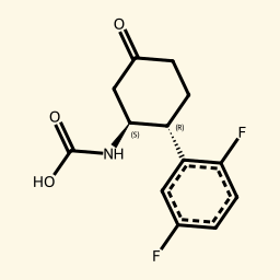 O=C1CC[C@H](c2cc(F)ccc2F)[C@@H](NC(=O)O)C1